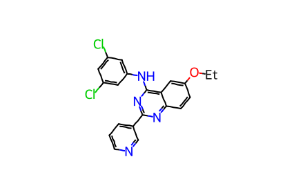 CCOc1ccc2nc(-c3cccnc3)nc(Nc3cc(Cl)cc(Cl)c3)c2c1